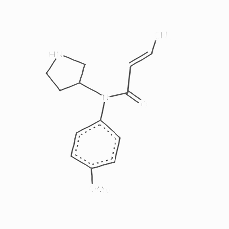 CC=CC(=O)N(c1ccc(OC)cc1)C1CCNC1